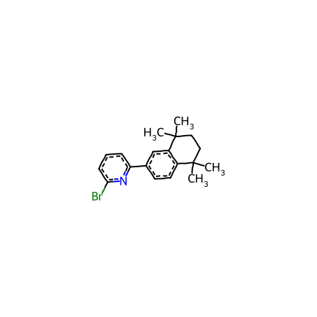 CC1(C)CCC(C)(C)c2cc(-c3cccc(Br)n3)ccc21